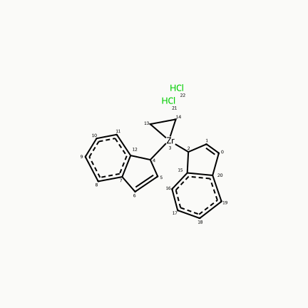 C1=C[CH]([Zr]2([CH]3C=Cc4ccccc43)[CH2][CH2]2)c2ccccc21.Cl.Cl